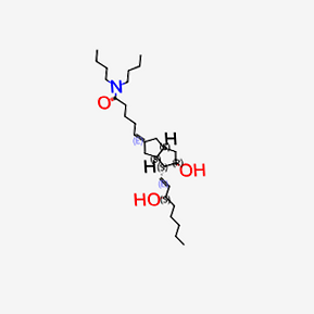 CCCCC[C@H](O)/C=C/[C@@H]1[C@H]2C/C(=C/CCCC(=O)N(CCCC)CCCC)C[C@H]2C[C@H]1O